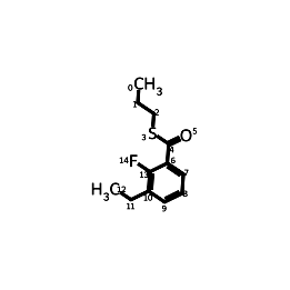 CCCSC(=O)c1cccc(CC)c1F